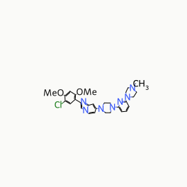 COc1cc(OC)c(-c2cn3ccc(N4CCN(c5cccc(N6CCN(C)CC6)n5)CC4)cc3n2)cc1Cl